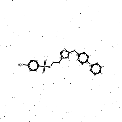 Cc1ccc(S(=O)(=O)OCCc2coc(Cc3ccc(-c4ccccc4)cc3)n2)cc1